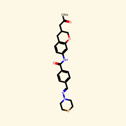 COC(=O)CC1COc2cc(NC(=O)c3ccc(/C=N/N4CCSCC4)cc3)ccc2C1